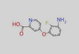 Nc1cccc(Oc2ccnc(C(=O)O)c2)c1F